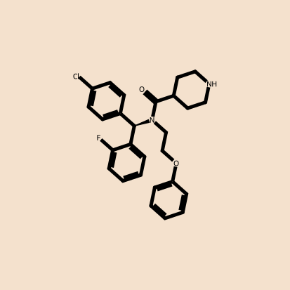 O=C(C1CCNCC1)N(CCOc1ccccc1)[C@H](c1ccc(Cl)cc1)c1ccccc1F